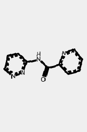 O=C(Nc1cccnn1)c1ccccn1